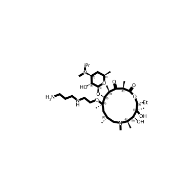 CC[C@H]1OC(=O)[C@H](C)C(=O)[C@H](C)[C@@H](O[C@@H]2O[C@H](C)C[C@H](N(C)C(C)C)[C@H]2O)[C@](C)(OCCNCCCN)C[C@@H](C)CN(C)[C@H](C)[C@@H](O)[C@]1(C)O